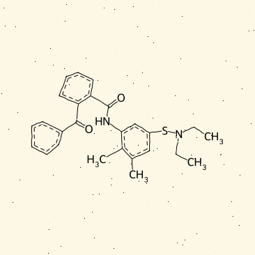 CCN(CC)Sc1cc(C)c(C)c(NC(=O)c2ccccc2C(=O)c2ccccc2)c1